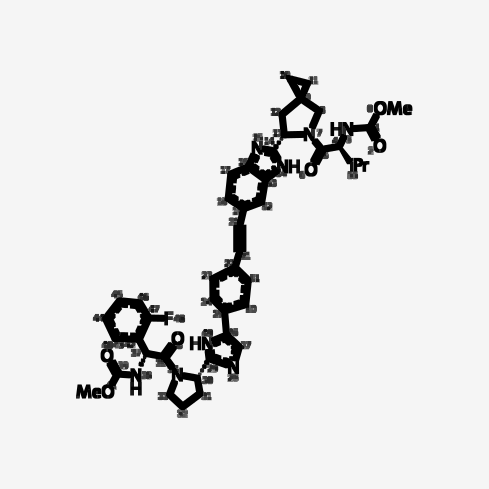 COC(=O)N[C@H](C(=O)N1CC2(CC2)C[C@H]1c1nc2ccc(C#Cc3ccc(-c4cnc([C@@H]5CCCN5C(=O)[C@H](NC(=O)OC)c5ccccc5F)[nH]4)cc3)cc2[nH]1)C(C)C